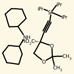 C1CCC(NC2CCCCC2)CC1.CC(C)[Si](C#C[C@]1(C(=O)O)COC(C)(C)O1)(C(C)C)C(C)C